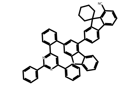 N#Cc1cccc2c1C1(CCCCC1)c1cc(-c3cc(-c4ccccc4-c4cc(-c5ccccc5)nc(-c5ccccc5)n4)cc4sc5ccccc5c34)ccc1-2